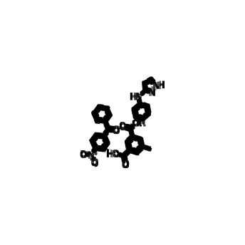 Cc1cc(C(=O)O)cc(C(=O)O)c1.O=C(c1ccccc1)c1ccc([N+](=O)[O-])cc1.c1ccc(Nc2cc[nH]n2)cc1